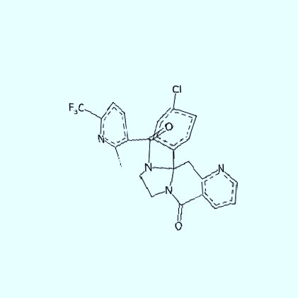 Cc1nc(C(F)(F)F)ccc1C(=O)N1CCN2C(=O)c3cccnc3CC12c1ccc(Cl)cc1